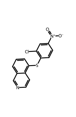 O=[N+]([O-])c1ccc(Sc2cccc3cnccc23)c(Cl)c1